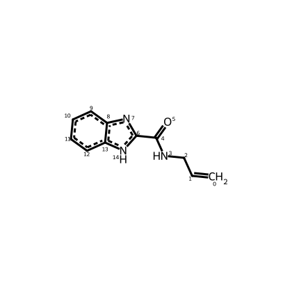 C=CCNC(=O)c1nc2ccccc2[nH]1